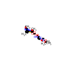 COc1cnc2c(-c3nc4c(C)cc5c(c4s3)OCC(COC(=O)Nc3ccc(N4CCN(C(=O)OC(C)(C)C)CC4)nc3)O5)cc(C)cc2n1